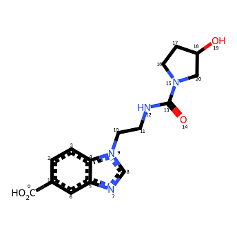 O=C(O)c1ccc2c(c1)ncn2CCNC(=O)N1CCC(O)C1